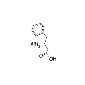 O=C(O)CCCc1ccccc1.[AlH3]